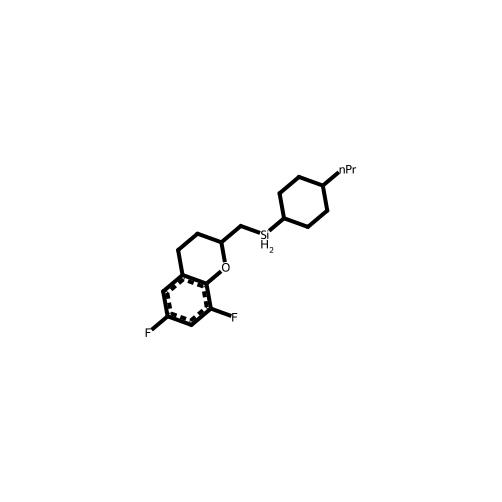 CCCC1CCC([SiH2]CC2CCc3cc(F)cc(F)c3O2)CC1